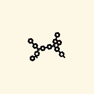 CC1C=CC(c2ccc(N(c3ccc(-c4ccccc4)cc3)c3ccc(-c4ccc(N(C5=CCC(C)(c6ccccc6)C=C5)c5ccc(-c6ccccc6)cc5)cc4)cc3)c(-c3ccccc3)c2)=CC1